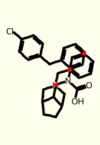 O=C(O)N(CC1C2CCC1CN(Cc1ccccc1)C2)c1ccccc1Cc1ccc(Cl)cc1